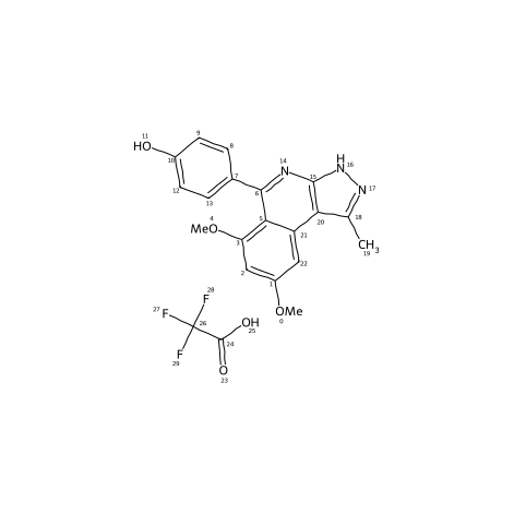 COc1cc(OC)c2c(-c3ccc(O)cc3)nc3[nH]nc(C)c3c2c1.O=C(O)C(F)(F)F